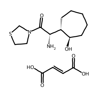 N[C@H](C(=O)N1CCSC1)[C@@H]1CCCCC[C@H]1O.O=C(O)/C=C/C(=O)O